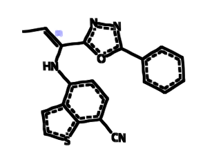 C/C=C(\Nc1ccc(C#N)c2sccc12)c1nnc(-c2ccccc2)o1